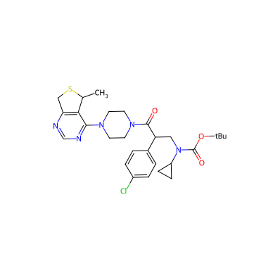 CC1SCc2ncnc(N3CCN(C(=O)C(CN(C(=O)OC(C)(C)C)C4CC4)c4ccc(Cl)cc4)CC3)c21